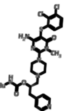 Cn1c(N2CCN(C[C@@H](Cc3ccncc3)OC(=O)NC(C)(C)C)CC2)nc(N)c(Sc2cccc(Cl)c2Cl)c1=O